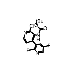 CC(C)(C)OC(=O)Nc1c(-c2cc(F)cnc2F)ccnc1Cl